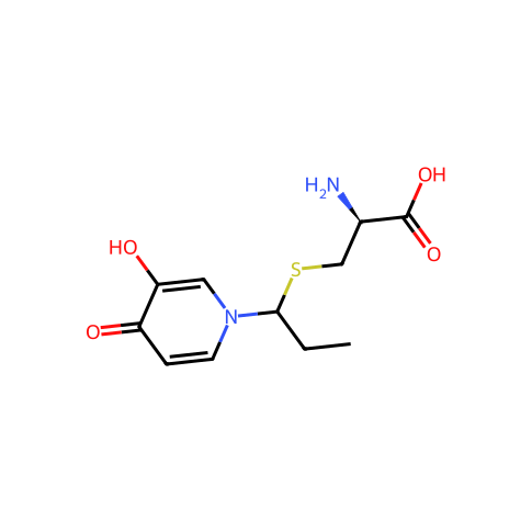 CCC(SC[C@@H](N)C(=O)O)n1ccc(=O)c(O)c1